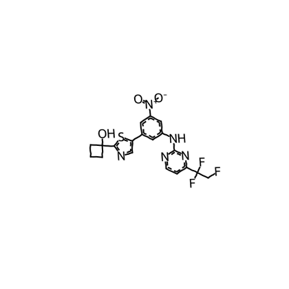 O=[N+]([O-])c1cc(Nc2nccc(C(F)(F)CF)n2)cc(-c2cnc(C3(O)CCC3)s2)c1